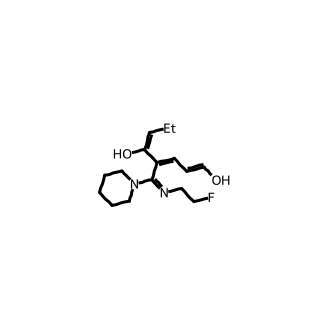 CC\C=C(O)/C(=C/C=C/O)C(=N\CCF)/N1CCCCC1